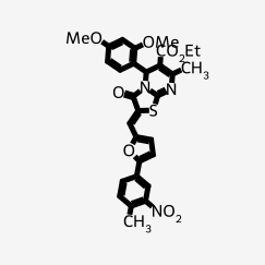 CCOC(=O)C1=C(C)N=c2s/c(=C\c3ccc(-c4ccc(C)c([N+](=O)[O-])c4)o3)c(=O)n2C1c1ccc(OC)cc1OC